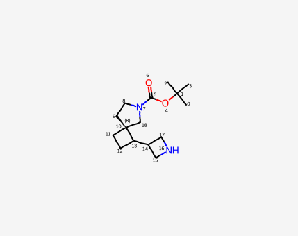 CC(C)(C)OC(=O)N1CC[C@@]2(CCC2C2CNC2)C1